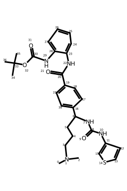 CN(C)CCCC(NC(=O)Nc1ccsc1)c1ccc(C(=O)Nc2ccccc2NC(=O)OC(C)(C)C)cc1